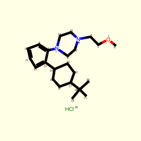 COCCN1CCN(c2ccccc2C2CCC(C(C)(C)C)CC2)CC1.Cl